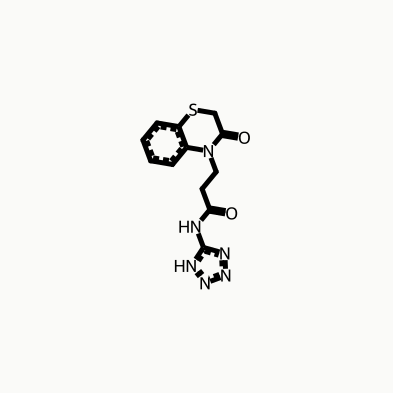 O=C(CCN1C(=O)CSc2ccccc21)Nc1nnn[nH]1